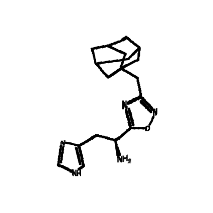 N[C@@H](Cc1c[nH]cn1)c1nc(CC23CC4CC(CC(C4)C2)C3)no1